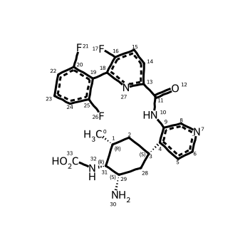 C[C@@H]1C[C@H](c2ccncc2NC(=O)c2ccc(F)c(-c3c(F)cccc3F)n2)C[C@H](N)[C@@H]1NC(=O)O